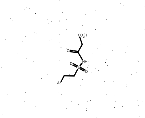 CC(=O)CCS(=O)(=O)NC(=O)CC(=O)O